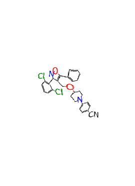 N#Cc1ccc(N2CCC(OCc3c(-c4c(Cl)cccc4Cl)noc3-c3ccccc3)CC2)cc1